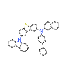 c1ccc(-c2ccc(N(c3ccc4ccccc4c3)c3ccc4sc5ccc(-n6c7ccccc7c7ccccc76)cc5c4c3)cc2)cc1